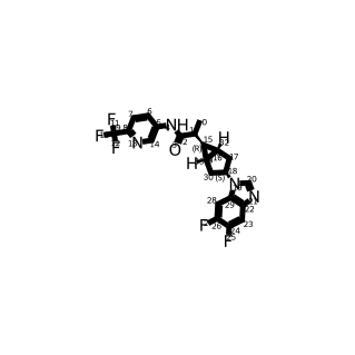 CC(C(=O)Nc1ccc(C(F)(F)F)nc1)[C@H]1[C@@H]2C[C@@H](n3cnc4cc(F)c(F)cc43)C[C@@H]21